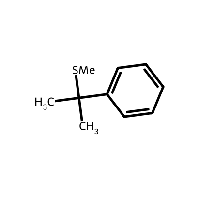 [CH2]SC(C)(C)c1ccccc1